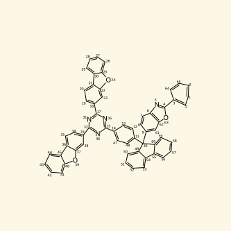 c1ccc(-c2nc3ccc(C4(c5ccc(-c6nc(-c7ccc8c(c7)oc7ccccc78)nc(-c7ccc8c(c7)oc7ccccc78)n6)cc5)c5ccccc5-c5ccccc54)cc3o2)cc1